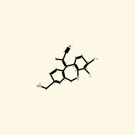 C/C(C#N)=C1\c2ccc(CO)cc2COc2c1ccc(F)c2F